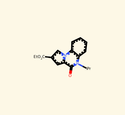 CCOC(=O)c1cc2c(=O)n(C(C)C)c3ccccc3n2c1